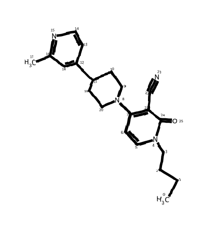 CCCCn1ccc(N2CCC(c3ccnc(C)c3)CC2)c(C#N)c1=O